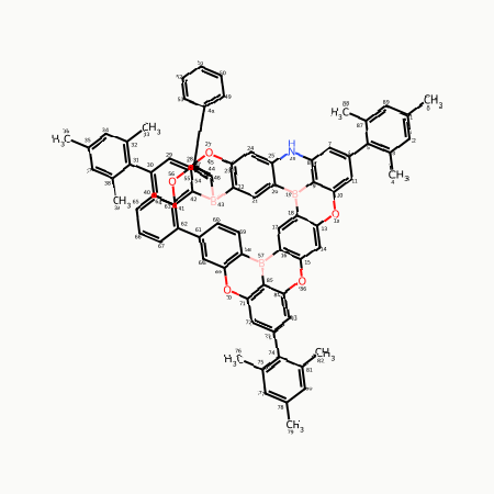 Cc1cc(C)c(-c2cc3c4c(c2)Oc2cc5c(cc2B4c2cc4c(cc2N3)Oc2cc(-c3c(C)cc(C)cc3C)cc3c2B4c2ccc(-c4ccccc4)cc2O3)B2c3ccc(-c4ccccc4)cc3Oc3cc(-c4c(C)cc(C)cc4C)cc(c32)O5)c(C)c1